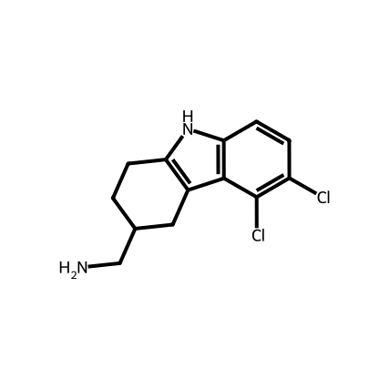 NCC1CCc2[nH]c3ccc(Cl)c(Cl)c3c2C1